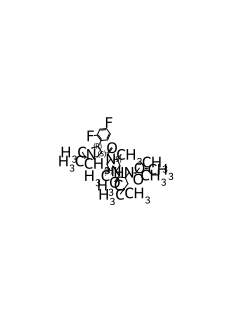 C[C@@H]1CN(C(=O)[C@@H]2CN(C(C)(C)C)C[C@H]2c2ccc(F)cc2F)[C@@H](C)CN1C(=O)C(CC(C)(C)C)NC(=O)OC(C)(C)C